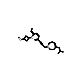 C=C(C#CCN1CCC=C(CC(C)C)CC1)/C=C\C(=C/C)OC1CC(OC)C1